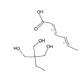 C/C=C/C=C/C(=O)O.CCC(CO)(CO)CO